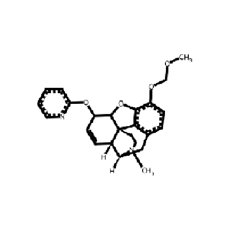 COCOc1ccc2c3c1OC1C(Oc4ccccn4)C=C[C@H]4[C@@H](C2)N(C)CC[C@]314